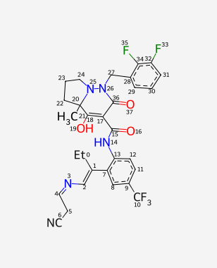 CC/C(=C\N=C/CC#N)c1cc(C(F)(F)F)ccc1NC(=O)C1=C(O)C2(C)CCCN2N(Cc2cccc(F)c2F)C1=O